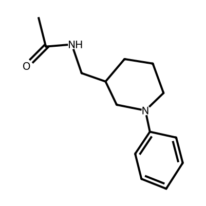 CC(=O)NCC1CCCN(c2ccccc2)C1